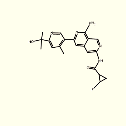 Cc1cc(C(C)(C)O)ncc1-c1cc2cc(NC(=O)C3CC3F)ncc2c(N)n1